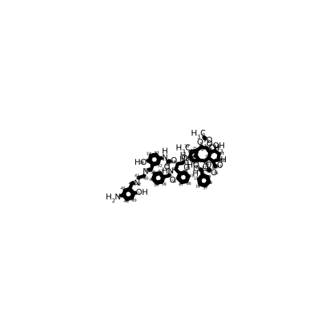 CC(=O)OC1C(=O)[C@@]2(C)C([C@H](OC(=O)c3ccccc3)[C@]3(O)C[C@H](OC(=O)[C@H](OC(=O)Nc4ccc(O)c(/C=N/CC/N=C/c5cc(N)ccc5O)c4)[C@@H](NC(=O)c4ccccc4)c4ccccc4)C(C)=C1C3(C)C)[C@]1(OC(C)=O)CO[C@@H]1C[C@@H]2O